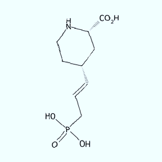 O=C(O)[C@@H]1C[C@H](/C=C/CP(=O)(O)O)CCN1